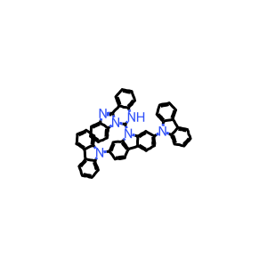 c1ccc2c(c1)NC(n1c3cc(-n4c5ccccc5c5ccccc54)ccc3c3ccc(-n4c5ccccc5c5ccccc54)cc31)n1c-2nc2ccccc21